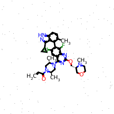 C=CC(=O)N1C[C@H](C)N(c2nc(OC[C@H]3COCCN3C)nc3c(F)c(-c4c(C)ccc5[nH]nc(C6CC6)c45)c(Cl)cc23)C[C@H]1C